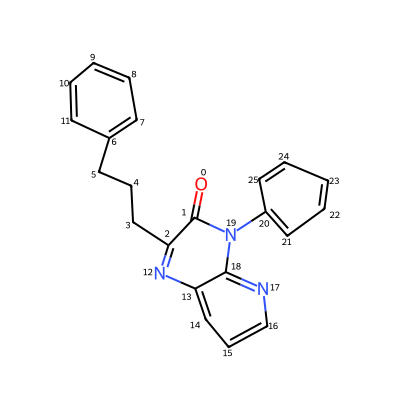 O=c1c(CCCc2ccccc2)nc2cccnc2n1-c1ccccc1